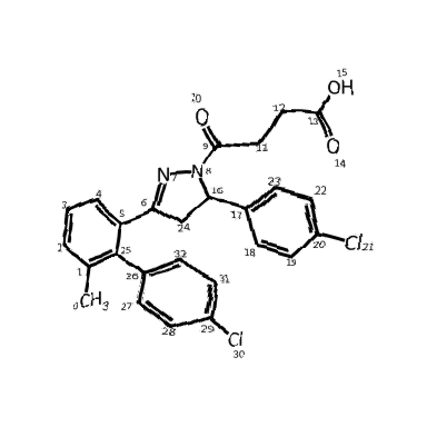 Cc1cccc(C2=NN(C(=O)CCC(=O)O)C(c3ccc(Cl)cc3)C2)c1-c1ccc(Cl)cc1